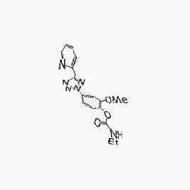 CCNC(=O)Oc1ccc(-n2nnc(-c3ccccn3)n2)cc1OC